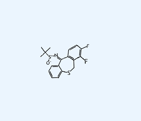 CC(C)(C)[S@+]([O-])/N=C1\c2ccccc2SCc2c1ccc(F)c2F